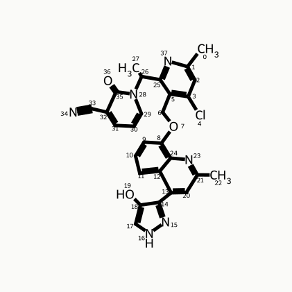 Cc1cc(Cl)c(COc2cccc3c(-c4n[nH]cc4O)cc(C)nc23)c(C(C)n2cccc(C#N)c2=O)n1